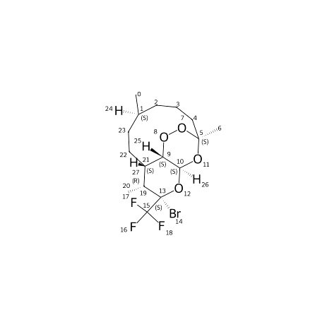 C[C@H]1CCC[C@]2(C)OO[C@@H]3[C@@H](O2)O[C@@](Br)(C(F)(F)F)[C@H](C)[C@@H]3CC1